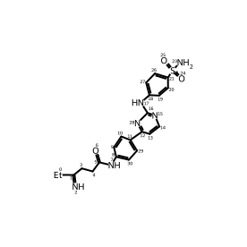 CCC(=N)CCC(=O)Nc1ccc(-c2ccnc(Nc3ccc(S(N)(=O)=O)cc3)n2)cc1